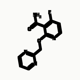 NC(=O)c1c(F)ccnc1OCc1ncccn1